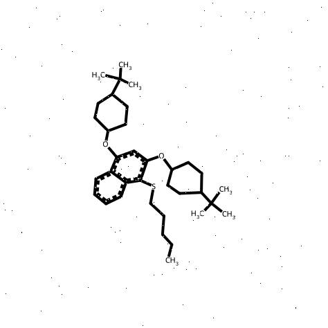 CCCCCSc1c(OC2CCC(C(C)(C)C)CC2)cc(OC2CCC(C(C)(C)C)CC2)c2ccccc12